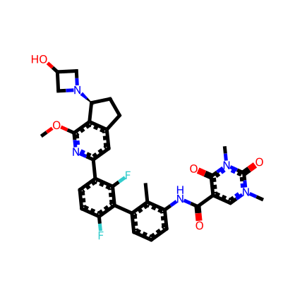 COc1nc(-c2ccc(F)c(-c3cccc(NC(=O)c4cn(C)c(=O)n(C)c4=O)c3C)c2F)cc2c1[C@@H](N1CC(O)C1)CC2